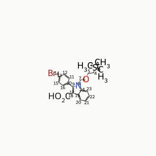 C[Si](C)(C)CCOCn1c(-c2ccc(Br)cc2)c(C(=O)O)c2ccccc21